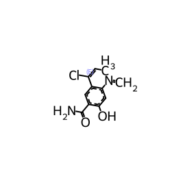 C=Nc1cc(O)c(C(N)=O)cc1/C(Cl)=C\C